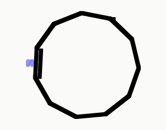 [CH]1CC/C=C\CCCCCC1